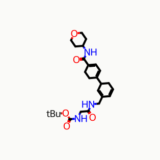 CC(C)(C)OC(=O)NCC(=O)NCC1=CC(C2=CC=C(C(=O)NC3CCOCC3)CC2)CC=C1